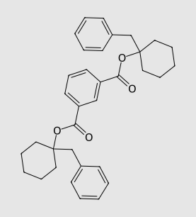 O=C(OC1(Cc2ccccc2)CCCCC1)c1cccc(C(=O)OC2(Cc3ccccc3)CCCCC2)c1